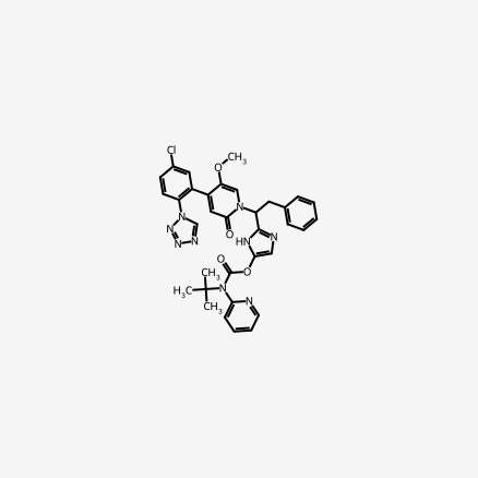 COc1cn(C(Cc2ccccc2)c2ncc(OC(=O)N(c3ccccn3)C(C)(C)C)[nH]2)c(=O)cc1-c1cc(Cl)ccc1-n1cnnn1